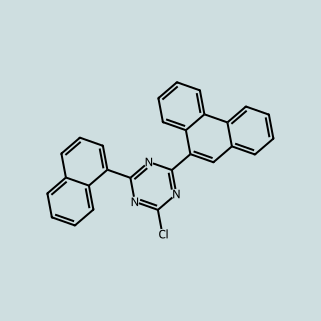 Clc1nc(-c2cccc3ccccc23)nc(-c2cc3ccccc3c3ccccc23)n1